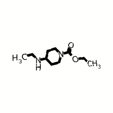 CCNC1CCN(C(=O)OCC)CC1